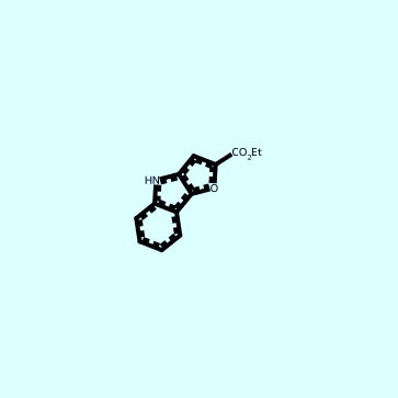 CCOC(=O)c1cc2[nH]c3ccccc3c2o1